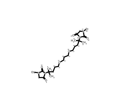 CCN1CC(=O)N(C(C)(C)CCCOCCCOCCCC(C)(C)N2C(=O)CN(CC)C2=O)C1=O